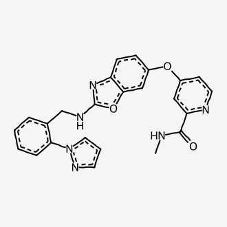 CNC(=O)c1cc(Oc2ccc3nc(NCc4ccccc4-n4cccn4)oc3c2)ccn1